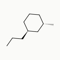 CCC[C@H]1CCC[C@H](C)C1